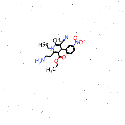 CCOC(=O)C1=C(CCN)N(C[SeH])C(C)=C(C#N)C1c1cccc([N+](=O)[O-])c1